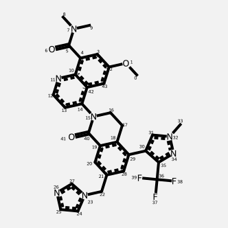 COc1cc(C(=O)N(C)C)c2nccc(N3CCc4c(cc(Cn5ccnc5)cc4-c4cn(C)nc4C(F)(F)F)C3=O)c2c1